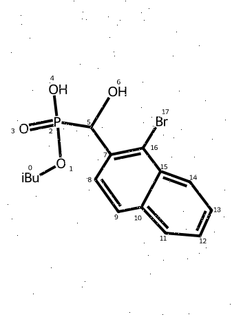 CCC(C)OP(=O)(O)C(O)c1ccc2ccccc2c1Br